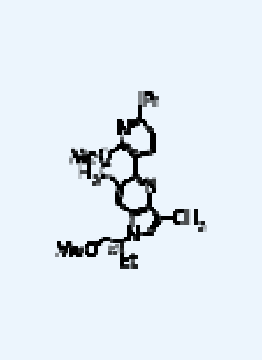 CC[C@@H](COC)n1cc(C)c2nc(-c3ccc(C(C)C)nc3OC)c(C)cc21